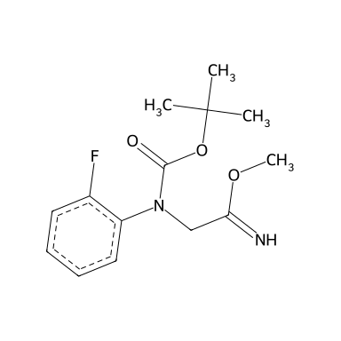 COC(=N)CN(C(=O)OC(C)(C)C)c1ccccc1F